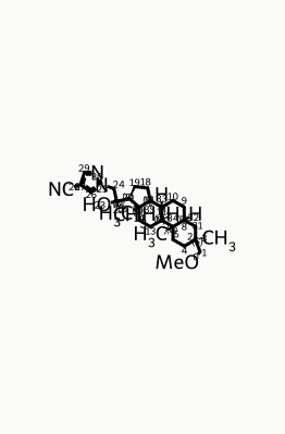 COC[C@@]1(C)CC[C@@]2(C)[C@H](CC[C@@H]3[C@@H]2CC[C@@]2(C)[C@H]3CC[C@@H]2[C@](C)(O)Cn2cc(C#N)cn2)C1